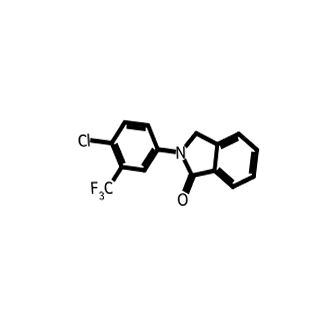 O=C1c2ccccc2CN1c1ccc(Cl)c(C(F)(F)F)c1